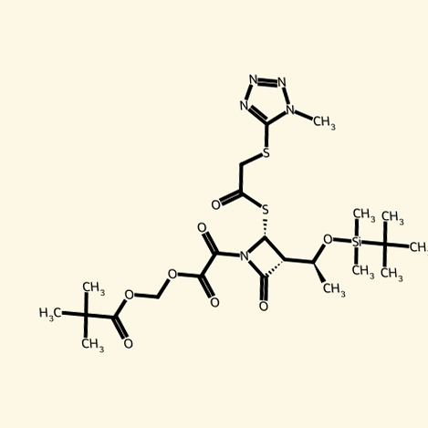 C[C@H](O[Si](C)(C)C(C)(C)C)[C@@H]1C(=O)N(C(=O)C(=O)OCOC(=O)C(C)(C)C)[C@@H]1SC(=O)CSc1nnnn1C